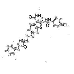 NC(=O)c1c(NC(=O)Nc2ccc(Cl)cc2)sc2c1CCN(CCCNC(=O)C=Cc1ccccc1)C2